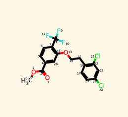 COC(=O)c1ccc(C(F)(F)F)c(OCCc2ccc(Cl)cc2Cl)c1